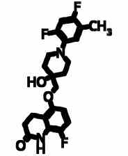 Cc1cc(N2CCC(O)(COc3ccc(F)c4c3CCC(=O)N4)CC2)c(F)cc1F